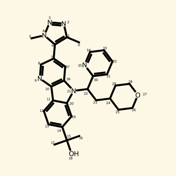 Cc1nnn(C)c1-c1cnc2c3ccc(C(C)(C)O)cc3n(C(CC3CCOCC3)c3ccccn3)c2c1